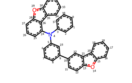 c1ccc(N(c2cccc(-c3ccc4oc5ccccc5c4c3)c2)c2cccc3oc4ccccc4c23)cc1